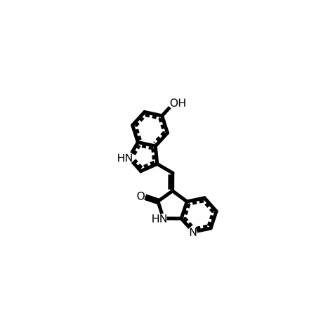 O=C1Nc2ncccc2C1=Cc1c[nH]c2ccc(O)cc12